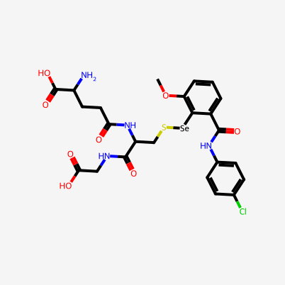 COc1cccc(C(=O)Nc2ccc(Cl)cc2)c1[Se]SCC(NC(=O)CCC(N)C(=O)O)C(=O)NCC(=O)O